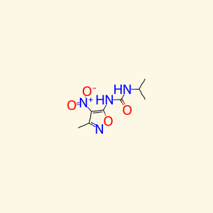 Cc1noc(NC(=O)NC(C)C)c1[N+](=O)[O-]